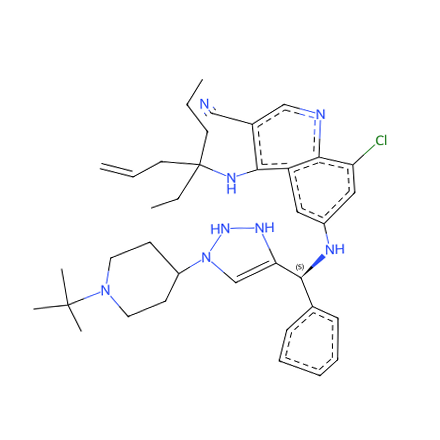 C=CCC(CC)(CCC)Nc1c(C#N)cnc2c(Cl)cc(N[C@H](C3=CN(C4CCN(C(C)(C)C)CC4)NN3)c3ccccc3)cc12